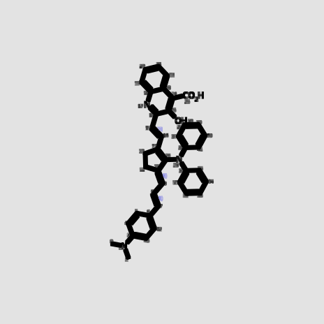 CN(C)c1ccc(/C=C/C=C2\CCC(/C=C/c3nc4ccccc4c(C(=O)O)c3O)=C2N(c2ccccc2)c2ccccc2)cc1